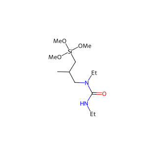 CCNC(=O)N(CC)CC(C)C[Si](OC)(OC)OC